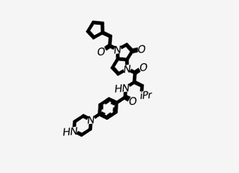 CC(C)CC(NC(=O)c1ccc(N2CCNCC2)cc1)C(=O)N1CCC2C1C(=O)CN2C(=O)CC1CCCC1